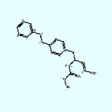 CO/N=C/C(Cc1ccc(OCc2ccccc2)cc1)NC(=O)OC(C)(C)C